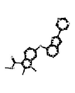 CNC(=O)c1c(C)n(C)c2cc(Oc3ccnc4cc(-c5cncnc5)sc34)ccc12